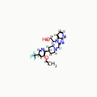 C=COc1cc(C(F)(F)F)cnc1C1CCN(Cc2nc3ncccc3n2CCO)CC1